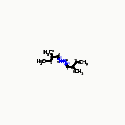 CCC(C)/C=N/N=C/C(C)CC